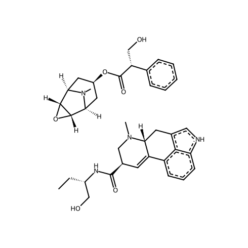 CC[C@@H](CO)NC(=O)[C@@H]1C=C2c3cccc4[nH]cc(c34)C[C@H]2N(C)C1.CN1[C@@H]2C[C@@H](OC(=O)[C@H](CO)c3ccccc3)C[C@H]1[C@@H]1O[C@@H]12